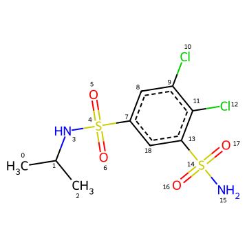 CC(C)NS(=O)(=O)c1cc(Cl)c(Cl)c(S(N)(=O)=O)c1